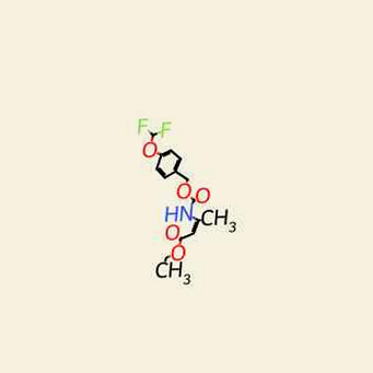 CCOC(=O)/C=C(/C)NC(=O)OCc1ccc(OC(F)F)cc1